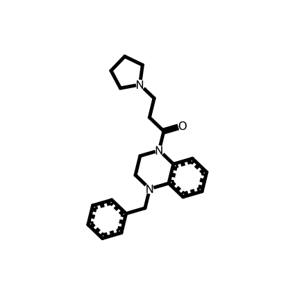 O=C(CCN1CCCC1)N1CCN(Cc2ccccc2)c2ccccc21